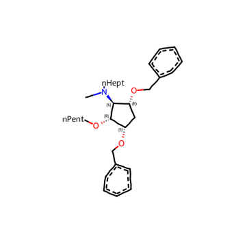 CCCCCCCN(C)[C@@H]1[C@@H](OCCCCC)[C@@H](OCc2ccccc2)C[C@H]1OCc1ccccc1